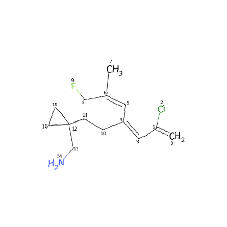 C=C(Cl)/C=C(\C=C(\C)CF)CCC1(CN)CC1